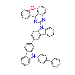 c1ccc(-c2ccc(-n3c4ccccc4c4ccc(-c5ccc6c(c5)c5ccccc5n6-c5nc6c7c(cccc7n5)Oc5ccccc5-6)cc43)cc2)cc1